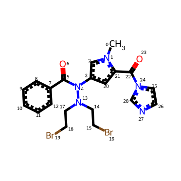 Cn1cc(N(C(=O)c2ccccc2)N(CCBr)CCBr)cc1C(=O)n1ccnc1